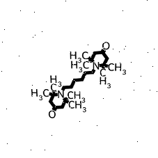 CC1(C)CC(=O)CC(C)(C)N1CCCCCCN1C(C)(C)CC(=O)CC1(C)C